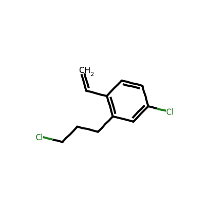 C=Cc1ccc(Cl)cc1CCCCl